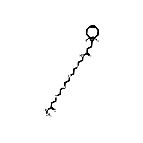 CNC(=O)CCOCCOCCOCCOCCNC(=O)CCC1[C@H]2CCC#CCC[C@@H]12